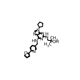 CC(C)(O)CNc1nc(NCc2ccc(-c3ccco3)nc2)c2ncn(C3CCCC3)c2n1